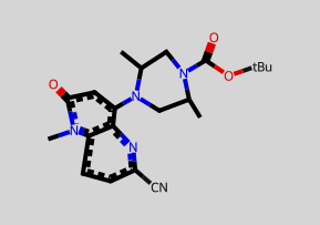 CC1CN(c2cc(=O)n(C)c3ccc(C#N)nc23)C(C)CN1C(=O)OC(C)(C)C